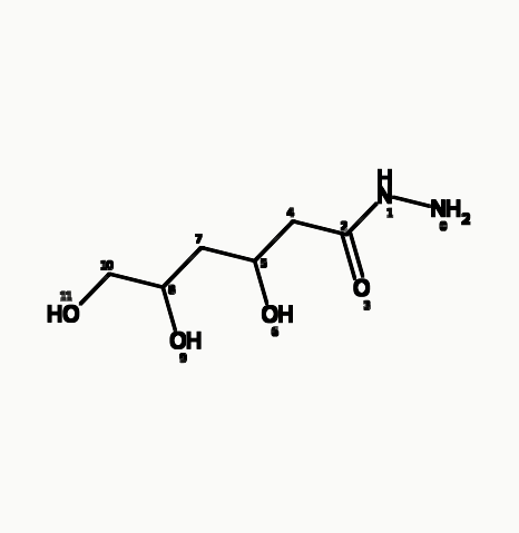 NNC(=O)CC(O)CC(O)CO